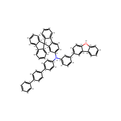 c1ccc(-c2ccc(-c3ccc(N(c4cccc(-c5ccc6oc7ccccc7c6c5)c4)c4ccc5c(c4)C4(c6ccccc6-c6ccccc64)c4ccccc4-5)cc3)cc2)cc1